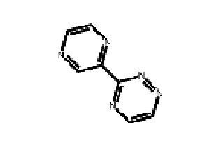 c1cnc(-c2nccnn2)cn1